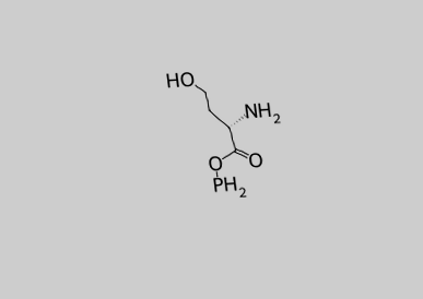 N[C@@H](CCO)C(=O)OP